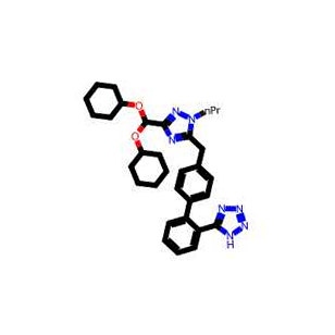 CCCn1nc(C(OC2CCCCC2)OC2CCCCC2)nc1Cc1ccc(-c2ccccc2-c2nnn[nH]2)cc1